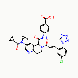 CN(C(=O)C1CC1)c1cnc2c(c1)C(C(=O)Nc1ccc(C(=O)O)cc1)N(C(=O)C=Cc1cc(Cl)ccc1-n1cnnn1)CC2